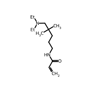 C=CC(=O)NCCCC(C)(C)CN(CC)CC